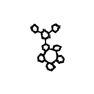 c1ccc(-c2cc(-c3ccc4c5ccccc5c5ccccc5c5ccccc5c5ccccc5c4c3)nc(-c3ccncc3)n2)cc1